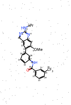 COc1cc2nc(NC(C)C)ncc2cc1-c1cccc(NC(=O)c2cccc(C(F)(F)F)c2)c1